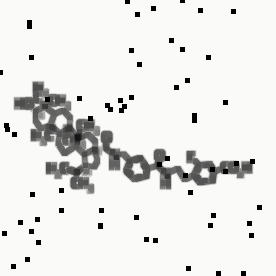 C=C(C)[C@@H]1CC[C@]2(C(=O)NCc3cccc(C(=O)NCCc4ccc(C(=O)O)cc4F)c3)CC[C@]3(C)C(CCC4[C@@]5(C)CC[C@H](O)C(C)(C)C5CC[C@]43C)C12